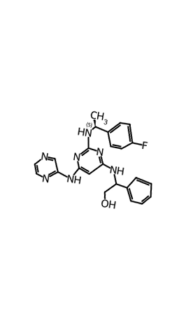 C[C@H](Nc1nc(Nc2cnccn2)cc(NC(CO)c2ccccc2)n1)c1ccc(F)cc1